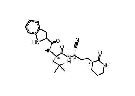 CC(C)(C)C[C@H](NC(=O)C1Cc2ccccc2N1)C(=O)N[C@H](C#N)CC[C@@H]1CCCNC1=O